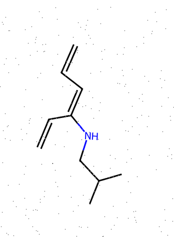 C=C/C=C(\C=C)NCC(C)C